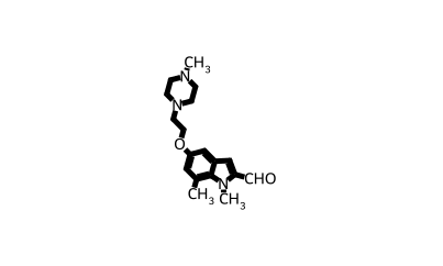 Cc1cc(OCCN2CCN(C)CC2)cc2cc(C=O)n(C)c12